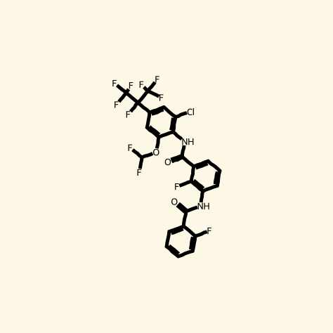 O=C(Nc1cccc(C(=O)Nc2c(Cl)cc(C(F)(C(F)(F)F)C(F)(F)F)cc2OC(F)F)c1F)c1ccccc1F